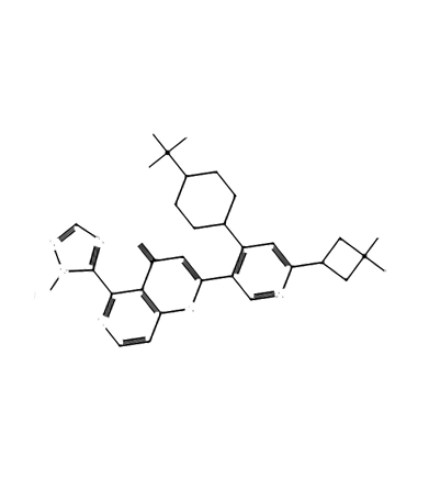 Cn1ncnc1-c1nccc2[nH]c(-c3cnc(C4CC(F)(F)C4)cc3C3CCC(C(F)(F)F)CC3)cc(=O)c12